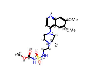 COc1cc2nccc(N3CCN(CCNS(=O)(=O)NC(=O)OC(C)(C)C)[C@@H](C)C3)c2cc1OC